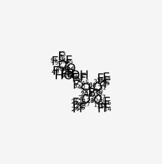 FC(F)(F)c1ccc([B-](c2ccc(C(F)(F)F)cc2)(c2ccc(C(F)(F)F)cc2)c2ccc(C(F)(F)F)cc2)cc1.OB(O)Oc1c(F)c(F)c(F)c(F)c1F